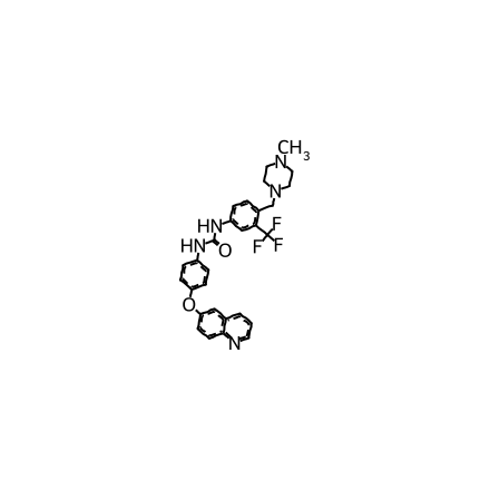 CN1CCN(Cc2ccc(NC(=O)Nc3ccc(Oc4ccc5ncccc5c4)cc3)cc2C(F)(F)F)CC1